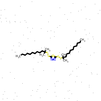 CCCCCCCCCCC(C)(C)SSc1nnc(SSC(C)(C)CCCCCCCCCC)s1